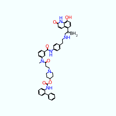 B[C@@H](CNCCc1ccc(NC(=O)c2cccc(N(C)C(=O)CCN3CCC(OC(=O)Nc4ccccc4-c4ccccc4)CC3)c2)cc1)c1ccc(O)c2[nH]c(=O)ccc12